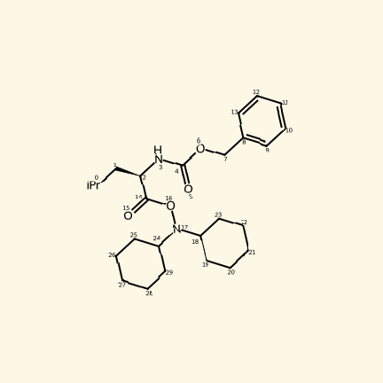 CC(C)C[C@@H](NC(=O)OCc1ccccc1)C(=O)ON(C1CCCCC1)C1CCCCC1